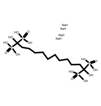 O=P(O)(O)C(O)(CCCCCCCCCCC(O)(P(=O)(O)O)P(=O)(O)O)P(=O)(O)O.[NaH].[NaH].[NaH].[NaH]